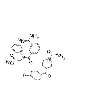 N=C(N)c1cccc(C(=O)N(CC(=O)O)c2ccccc2)c1.NC(=O)N1CCC(C(=O)c2ccc(F)cc2)CC1